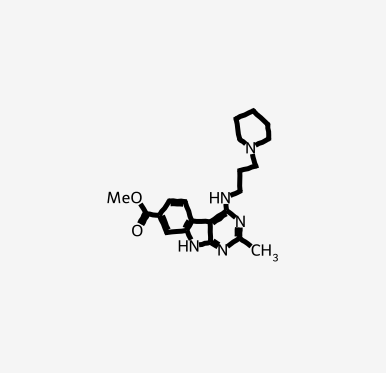 COC(=O)c1ccc2c(c1)[nH]c1nc(C)nc(NCCCN3CCCCC3)c12